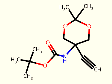 C#CC1(NC(=O)OC(C)(C)C)COC(C)(C)OC1